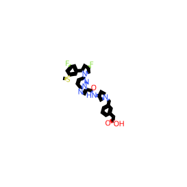 CSc1cc(F)cc(C2CC(F)CN2c2ccc3ncc(C(=O)NC4CCN(Cc5cccc(CC(=O)O)c5)C4)n3n2)c1